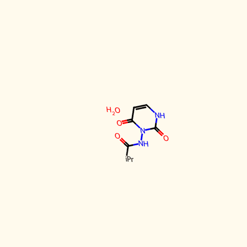 CC(C)C(=O)Nn1c(=O)cc[nH]c1=O.O